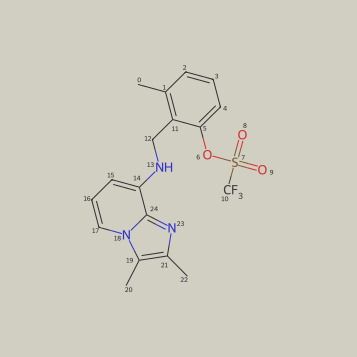 Cc1cccc(OS(=O)(=O)C(F)(F)F)c1CNc1cccn2c(C)c(C)nc12